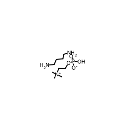 C[N+](C)(C)CCOP(=O)([O-])O.NCCCCN